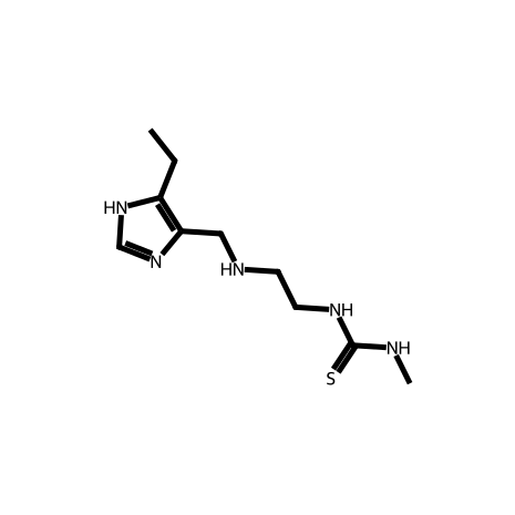 CCc1[nH]cnc1CNCCNC(=S)NC